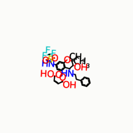 CC1(C)Oc2cc(NS(=O)(=O)C(F)(F)F)ccc2[C@H](NCCc2ccccc2)[C@H]1O.O=C(O)/C=C\C(=O)O